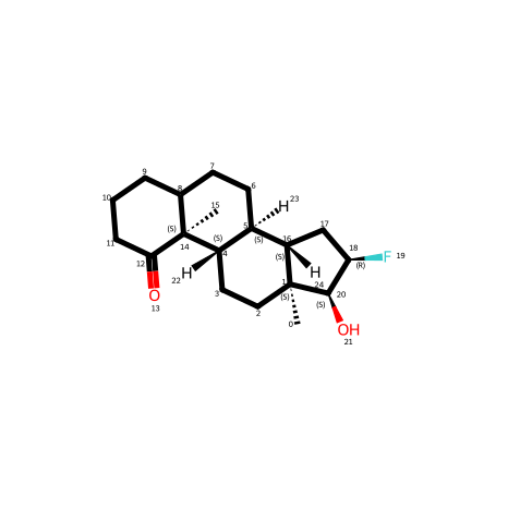 C[C@]12CC[C@H]3[C@@H](CCC4CCCC(=O)[C@@]43C)[C@@H]1C[C@@H](F)[C@H]2O